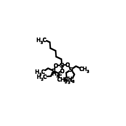 CCCCCC[Si](OC)(O[Si](CC)(CC)CC)O[Si](CC)(CC)CC